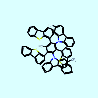 N#Cc1c(-c2cccc3c2sc2ccccc23)c(-n2c3ccccc3c3ccc(C(F)(F)F)cc32)c(-c2cccc3c2sc2ccccc23)c(-n2c3ccccc3c3ccc(C(F)(F)F)cc32)c1-c1cccc2c1sc1ccccc12